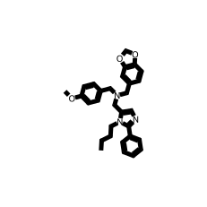 CCCCn1c(CN(Cc2ccc(OC)cc2)Cc2ccc3c(c2)OCO3)cnc1-c1ccccc1